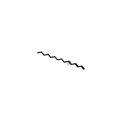 C=CC=C/C=[C]/CCCCCCCCC